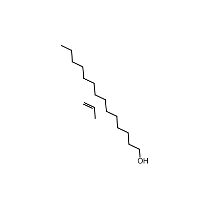 C=CC.CCCCCCCCCCCCCCO